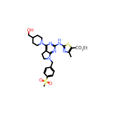 CCOC(=O)c1sc(Nc2nc(N3CCC(CO)CC3)c3c(n2)N(Cc2ccc(S(C)(=O)=O)cc2)CC3)nc1C